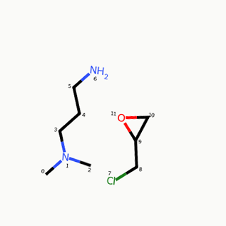 CN(C)CCCN.ClCC1CO1